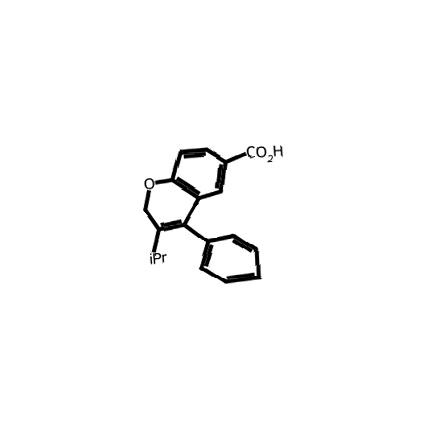 CC(C)C1=C(c2ccccc2)c2cc(C(=O)O)ccc2OC1